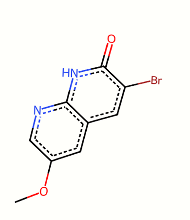 COc1cnc2[nH]c(=O)c(Br)cc2c1